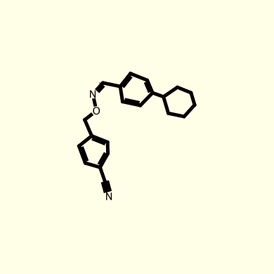 N#Cc1ccc(CO/N=[C]\c2ccc(C3CCCCC3)cc2)cc1